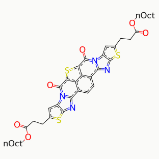 CCCCCCCCOC(=O)CCc1cc2c(nc3c4ccc5c6c(sc(c(=O)n23)c46)c(=O)n2c3cc(CCC(=O)OCCCCCCCC)sc3nc52)s1